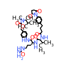 CC(C)C(NC(=O)CCCc1ccc(N2C(=O)CCC2=O)cc1)C(=O)N[C@@H](CCCNC(N)=O)C(=O)Nc1ccc(COC(=O)N(C)C(C)C(C)C)cc1